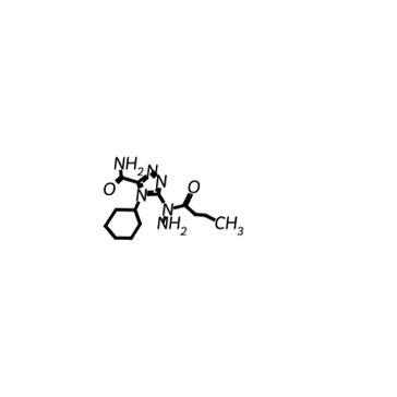 CCCC(=O)N(N)c1nnc(C(N)=O)n1C1CCCCC1